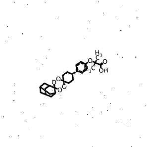 CC(C)(Oc1ccc(C2CCC3(CC2)OOC2(OO3)C3CC4CC(C3)CC2C4)cc1)C(=O)O